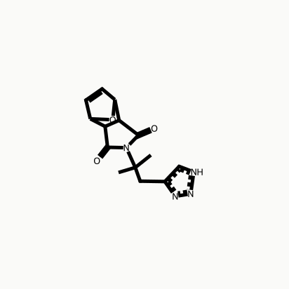 CC(C)(Cc1c[nH]nn1)N1C(=O)C2C3C=CC(O3)C2C1=O